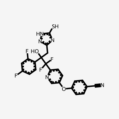 N#Cc1ccc(Oc2ccc(C(F)(F)C(O)(Cc3n[nH]c(S)n3)c3ccc(F)cc3F)nc2)cc1